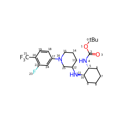 CC(C)(C)OC(=O)N[C@@H]1CCCC[C@H]1NC1CCCN(c2ccc(C(F)(F)F)c(F)c2)C1